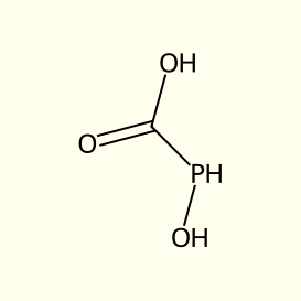 O=C(O)PO